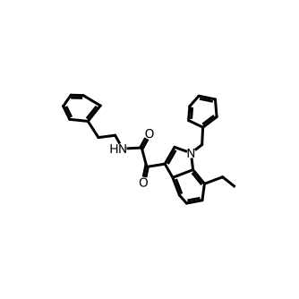 CCc1cccc2c(C(=O)C(=O)NCCc3ccccc3)cn(Cc3ccccc3)c12